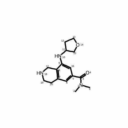 CN(C)C(=O)c1cc2c(c(NC3CCOC3)c1)CNCC2